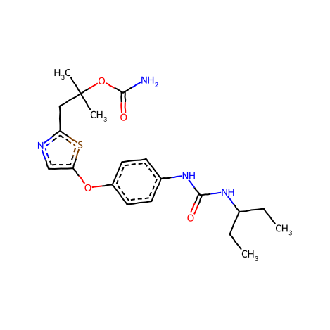 CCC(CC)NC(=O)Nc1ccc(Oc2cnc(CC(C)(C)OC(N)=O)s2)cc1